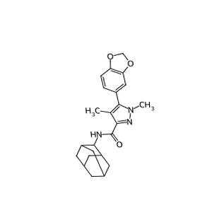 Cc1c(C(=O)NC2C3CC4CC(C3)CC2C4)nn(C)c1-c1ccc2c(c1)OCO2